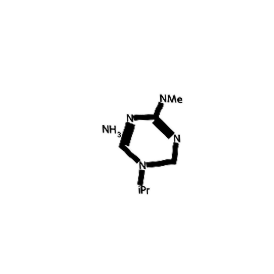 CNC1=NCN(C(C)C)C=N1.N